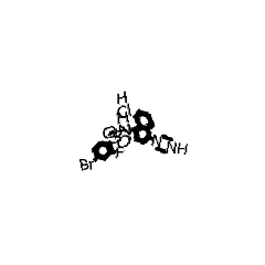 Cl.O=S(=O)(Nc1ccc(N2CCNCC2)c2ccccc12)c1ccc(Br)cc1F